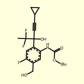 CC(C)(C)OC(=O)Nc1cc(CO)c(F)cc1C(O)(C#CC1CC1)C(C)(F)F